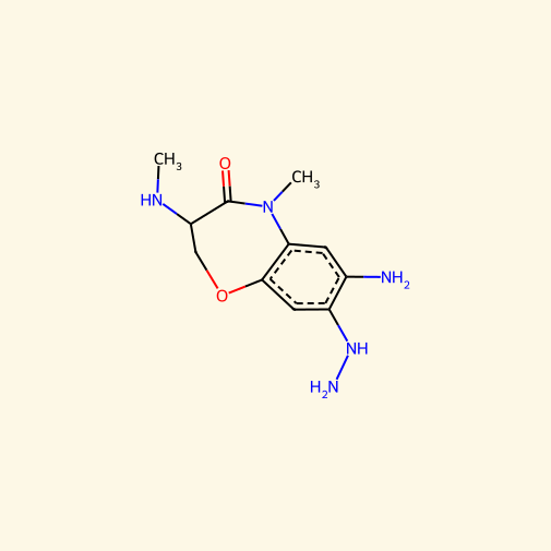 CNC1COc2cc(NN)c(N)cc2N(C)C1=O